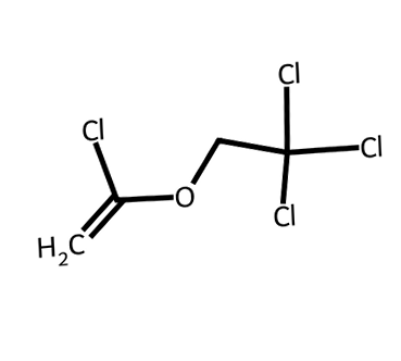 C=C(Cl)OCC(Cl)(Cl)Cl